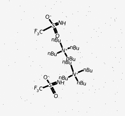 CCCC[N+](CCCC)(CCCC)CCCC.CCCC[N+](CCCC)(CCCC)CCCC.N=S(=O)([O-])C(F)(F)F.N=S(=O)([O-])C(F)(F)F